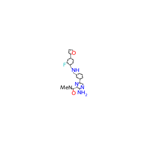 CNC(=O)c1nc(-c2cccc(CNCc3ccc(-c4ccco4)cc3F)c2)cnc1N